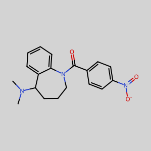 CN(C)C1CCCN(C(=O)c2ccc([N+](=O)[O-])cc2)c2ccccc21